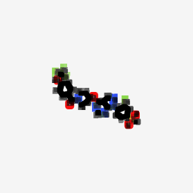 CS(=O)(=O)c1ccc(-n2ncc3c(OC4CCN(C(=O)c5ccc(OC(F)(F)F)cc5)CC4)ncnc32)c(F)c1